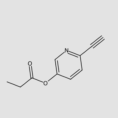 C#Cc1ccc(OC(=O)CC)cn1